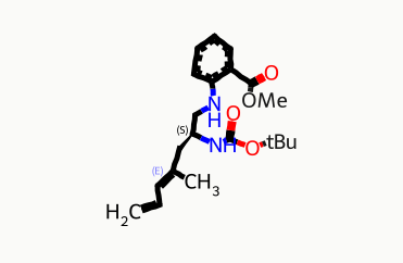 C=C/C=C(\C)C[C@@H](CNc1ccccc1C(=O)OC)NC(=O)OC(C)(C)C